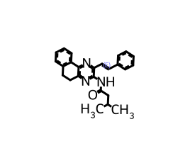 CC(C)CC(=O)Nc1nc2c(nc1/C=C/c1ccccc1)-c1ccccc1CC2